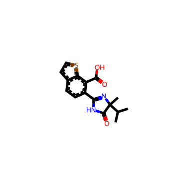 CC(C)C1(C)N=C(c2ccc3ccsc3c2C(=O)O)NC1=O